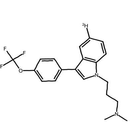 [2H]c1ccc2c(c1)c(-c1ccc(OC(F)(F)F)cc1)cn2CCCN(C)C